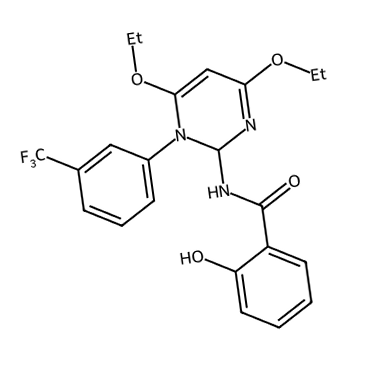 CCOC1=CC(OCC)=NC(NC(=O)c2ccccc2O)N1c1cccc(C(F)(F)F)c1